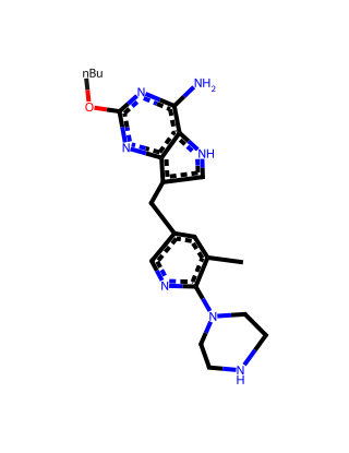 CCCCOc1nc(N)c2[nH]cc(Cc3cnc(N4CCNCC4)c(C)c3)c2n1